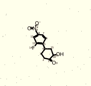 O=C1CCC(c2ccc([N+](=O)[O-])cc2F)CC1O